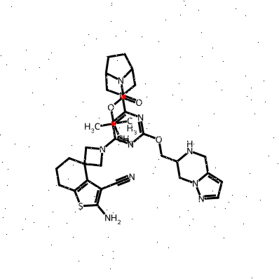 CC(C)(C)OC(=O)N1C2CCC1CN(c1cc(N3CC4(CCCc5sc(N)c(C#N)c54)C3)nc(OCC3Cn4nccc4CN3)n1)C2